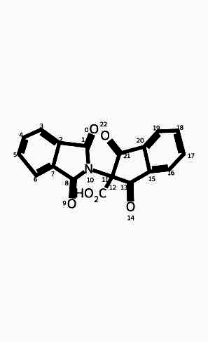 O=C1c2ccccc2C(=O)N1C1(C(=O)O)C(=O)c2ccccc2C1=O